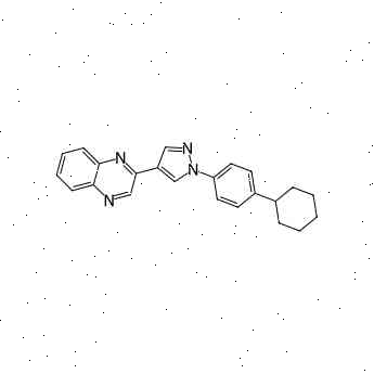 c1ccc2nc(-c3cnn(-c4ccc(C5CCCCC5)cc4)c3)cnc2c1